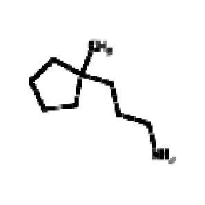 CC1(CCCN)CCCC1